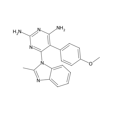 COc1ccc(-c2c(N)nc(N)nc2-n2c(C)nc3ccccc32)cc1